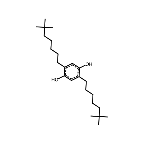 CC(C)(C)CCCCCc1cc(O)c(CCCCCC(C)(C)C)cc1O